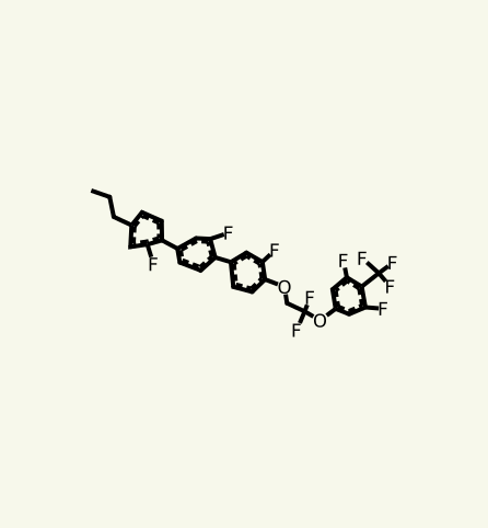 CCCc1ccc(-c2ccc(-c3ccc(OCC(F)(F)Oc4cc(F)c(C(F)(F)F)c(F)c4)c(F)c3)c(F)c2)c(F)c1